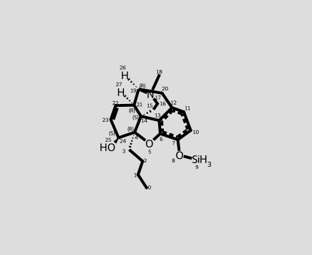 CCCC[C@@]12Oc3c(O[SiH3])ccc4c3[C@@]13CCN(C)[C@H](C4)[C@@H]3C=C[C@@H]2O